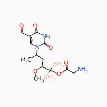 BC(B)(OC(=O)CN)C(CC(C)n1cc(C=O)c(=O)[nH]c1=O)OC